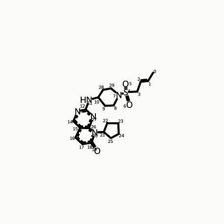 C/C=C/CS(=O)(=O)N1CCC(Nc2ncc3ccc(=O)n(C4CCCC4)c3n2)CC1